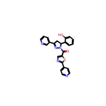 O=C(c1cnc(-c2ccncc2)s1)N1N=C(c2cccnc2)CC1c1ccccc1O